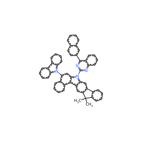 CC1(C)c2ccccc2-c2cc3c(cc21)c1c2ccccc2c(-n2c4ccccc4c4ccccc42)cc1n3-c1nc(-c2ccc3ccccc3c2)c2ccccc2n1